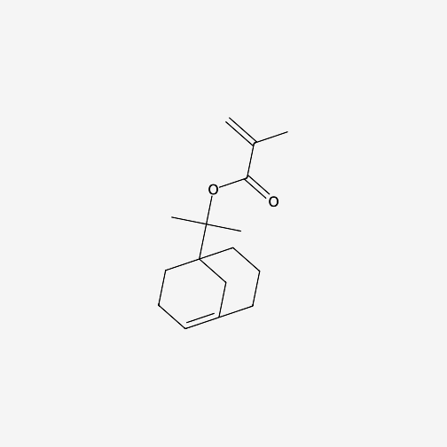 C=C(C)C(=O)OC(C)(C)C12CCC=C(CCC1)C2